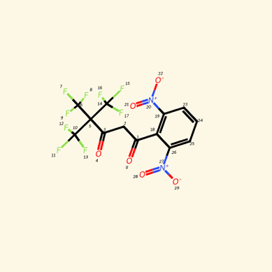 O=C(CC(=O)C(C(F)(F)F)(C(F)(F)F)C(F)(F)F)c1c([N+](=O)[O-])cccc1[N+](=O)[O-]